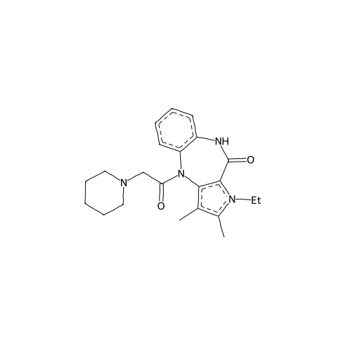 CCn1c(C)c(C)c2c1C(=O)Nc1ccccc1N2C(=O)CN1CCCCC1